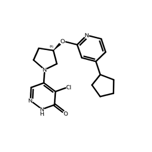 O=c1[nH]ncc(N2CC[C@@H](Oc3cc(C4CCCC4)ccn3)C2)c1Cl